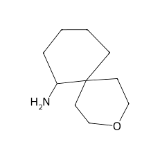 NC1CCCCC12CCOCC2